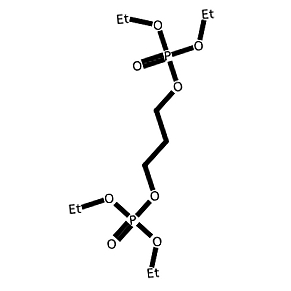 CCOP(=O)(OCC)OCCCOP(=O)(OCC)OCC